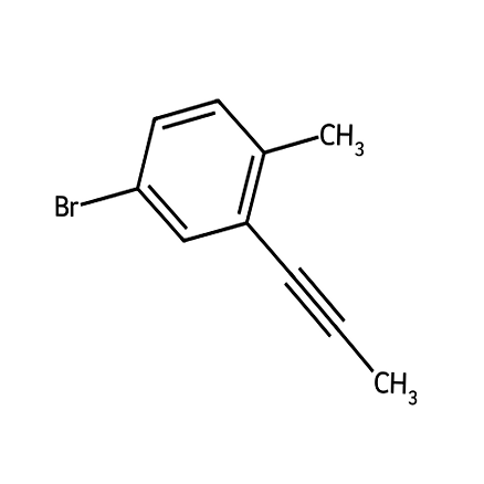 CC#Cc1cc(Br)ccc1C